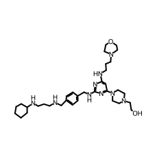 OCCN1CCN(c2cc(NCCCN3CCOCC3)nc(NCc3ccc(CNCCCNC4CCCCC4)cc3)n2)CC1